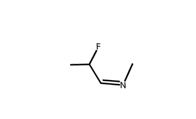 C/N=C\C(C)F